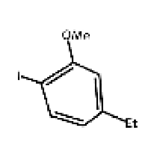 CCc1ccc(I)c(OC)c1